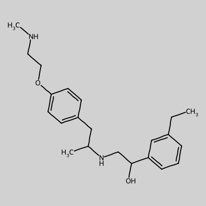 CCc1cccc(C(O)CNC(C)Cc2ccc(OCCNC)cc2)c1